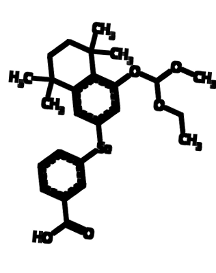 CCOC(OC)Oc1cc([Se]c2cccc(C(=O)O)c2)cc2c1C(C)(C)CCC2(C)C